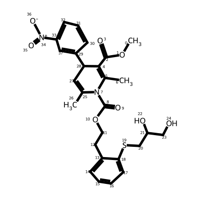 COC(=O)C1=C(C)N(C(=O)OCCc2ccccc2SCC(O)CO)C(C)=CC1c1cccc([N+](=O)[O-])c1